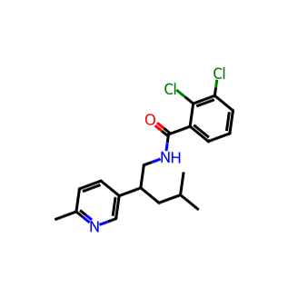 Cc1ccc(C(CNC(=O)c2cccc(Cl)c2Cl)CC(C)C)cn1